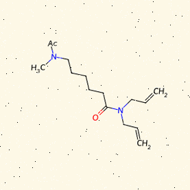 C=CCN(CC=C)C(=O)C[CH]CCCN(C)C(C)=O